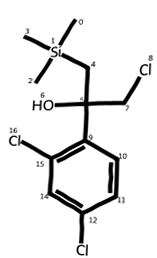 C[Si](C)(C)CC(O)(CCl)c1ccc(Cl)cc1Cl